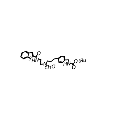 CC(C)(C)OC(=O)NCc1ccc(CCCN(C=O)CCNC(=O)c2cc3ccccc3s2)cc1